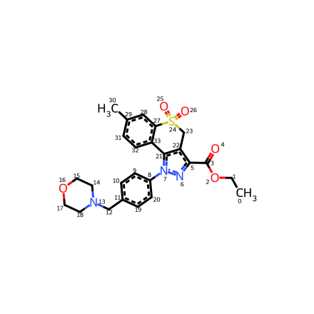 CCOC(=O)c1nn(-c2ccc(CN3CCOCC3)cc2)c2c1CS(=O)(=O)c1cc(C)ccc1-2